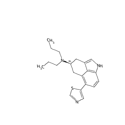 CCCN(CCC)[C@H]1Cc2c[nH]c3ccc(-c4cncs4)c(c23)C1